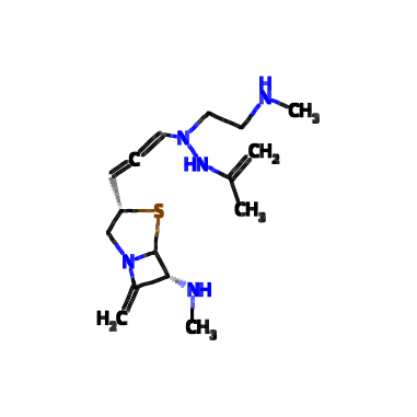 C=C(C)NN(C=C=C[C@H]1CN2C(=C)[C@@H](NC)C2S1)CCNC